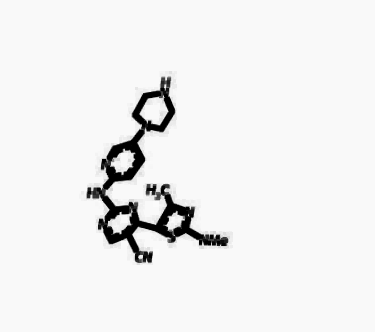 CNc1nc(C)c(-c2nc(Nc3ccc(N4CCNCC4)cn3)ncc2C#N)s1